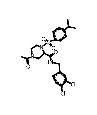 CC(=O)N1CCN(S(=O)(=O)c2ccc(C(C)C)cc2)C(C(=O)NCc2ccc(Cl)c(Cl)c2)C1